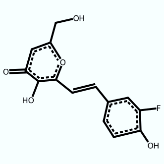 O=c1cc(CO)oc(C=Cc2ccc(O)c(F)c2)c1O